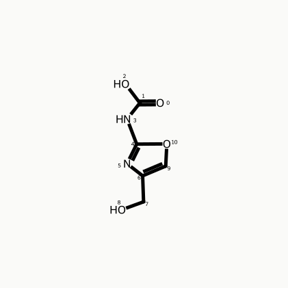 O=C(O)Nc1nc(CO)co1